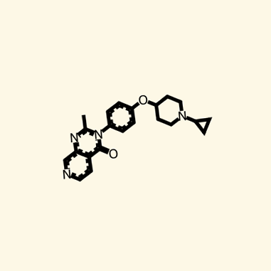 Cc1nc2cnccc2c(=O)n1-c1ccc(OC2CCN(C3CC3)CC2)cc1